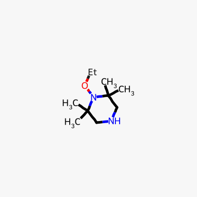 CCON1C(C)(C)CNCC1(C)C